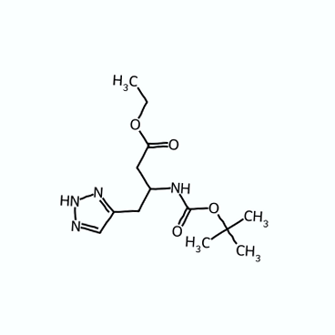 CCOC(=O)CC(Cc1cn[nH]n1)NC(=O)OC(C)(C)C